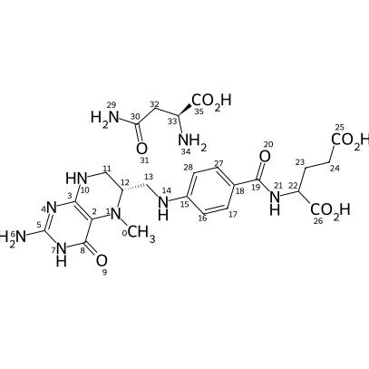 CN1c2c(nc(N)[nH]c2=O)NC[C@@H]1CNc1ccc(C(=O)NC(CCC(=O)O)C(=O)O)cc1.NC(=O)C[C@H](N)C(=O)O